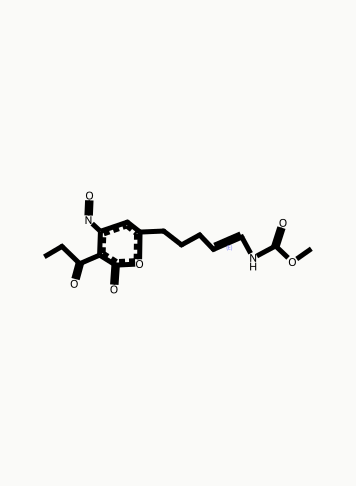 CCC(=O)c1c(N=O)cc(CCC/C=C/NC(=O)OC)oc1=O